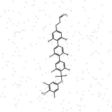 C=CCCc1cc(F)c(-c2cc(F)c(-c3cc(F)c(C(F)(F)Oc4cc(F)c(C)c(F)c4)c(F)c3)c(F)c2)c(F)c1